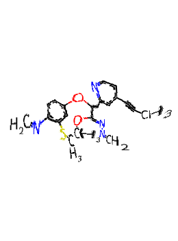 C=N/N=C(\OC)C(Oc1ccc(N=C)c(SC)c1)c1cc(C#CC)ccn1